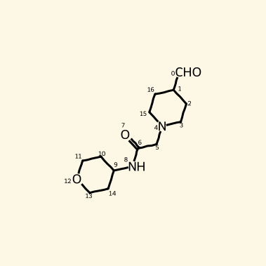 O=CC1CCN(CC(=O)NC2CCOCC2)CC1